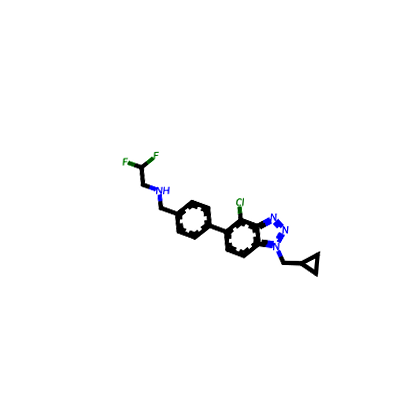 FC(F)CNCc1ccc(-c2ccc3c(nnn3CC3CC3)c2Cl)cc1